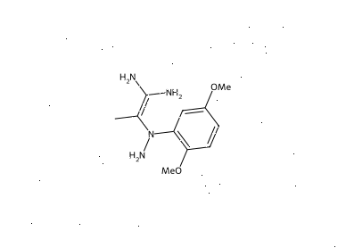 COc1ccc(OC)c(N(N)C(C)=C(N)N)c1